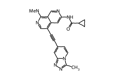 CNc1ncc(C#Cc2ccn3c(C)nnc3c2)c2cc(NC(=O)C3CC3)ncc12